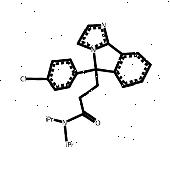 CC(C)N(C(=O)CCC1(c2ccc(Cl)cc2)c2ccccc2-c2nccn21)C(C)C